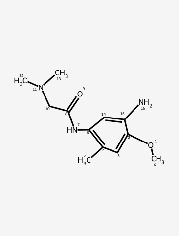 COc1cc(C)c(NC(=O)CN(C)C)cc1N